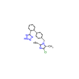 CCCCc1nc(Cl)c(C)n1Cc1ccc(-c2ccccc2-c2nn[nH]n2)cc1